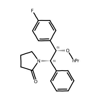 CCCO[C@@H](c1ccc(F)cc1)[C@H](c1ccccc1)N1CCCC1=O